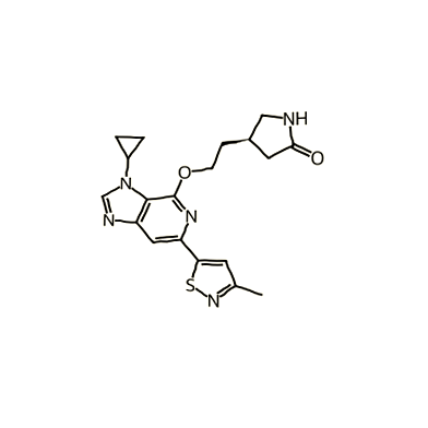 Cc1cc(-c2cc3ncn(C4CC4)c3c(OCC[C@H]3CNC(=O)C3)n2)sn1